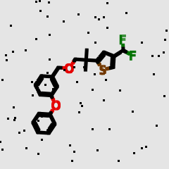 CC(C)(COCc1cccc(Oc2ccccc2)c1)c1cc(C(F)F)cs1